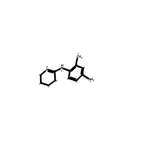 Cc1cc(N)ccc1NC1=NCCCC1